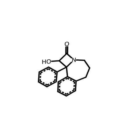 O=C1C(O)C2(c3ccccc3)c3ccccc3CCCN12